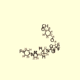 COc1ccc(COC[C@@H](OC(=O)N2C[C@@H]3[C@H](C2)[C@H]3c2ccn(-c3ccc(F)cc3)n2)C(F)(F)F)cc1